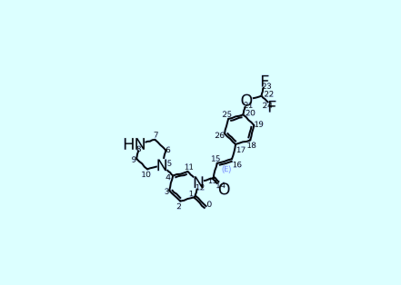 C=C1C=CC(N2CCNCC2)=CN1C(=O)/C=C/c1ccc(OC(F)F)cc1